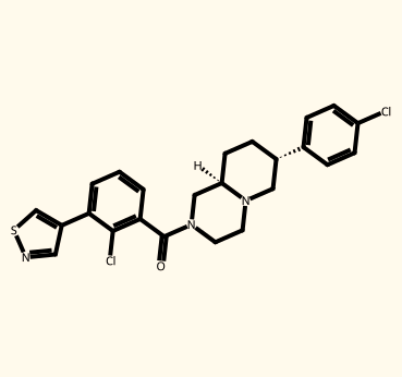 O=C(c1cccc(-c2cnsc2)c1Cl)N1CCN2C[C@@H](c3ccc(Cl)cc3)CC[C@@H]2C1